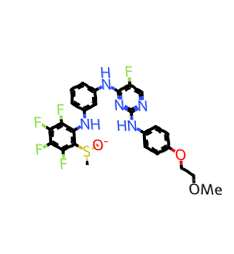 COCCOc1ccc(Nc2ncc(F)c(Nc3cccc(Nc4c(F)c(F)c(F)c(F)c4[S@+](C)[O-])c3)n2)cc1